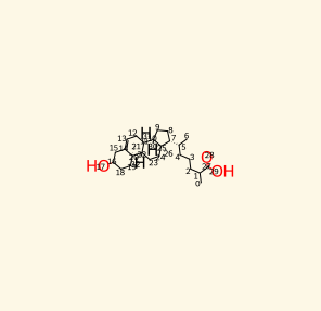 CC(CCCC(C)[C@H]1CC[C@H]2[C@@H]3CC=C4CC(O)CC[C@]4(C)[C@H]3CC[C@]12C)C(=O)O